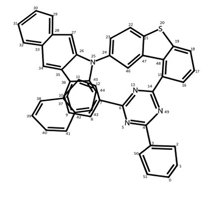 c1ccc(-c2nc(-c3ccccc3)nc(-c3cccc4sc5ccc(-n6c7cc8ccccc8cc7c7c8ccccc8ccc76)cc5c34)n2)cc1